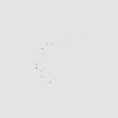 CC(C)Oc1cccc(CNC(=O)c2cc(-c3ccc4nc(N)nn4c3)cs2)c1